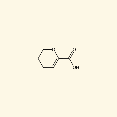 O=C(O)C1=CCCCO1